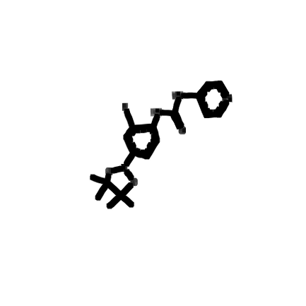 CC1(C)OB(c2ccc(NC(=O)Nc3ccncc3)c(F)c2)OC1(C)C